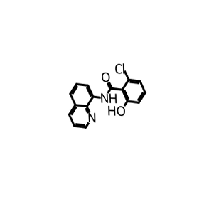 O=C(Nc1cccc2cccnc12)c1c(O)cccc1Cl